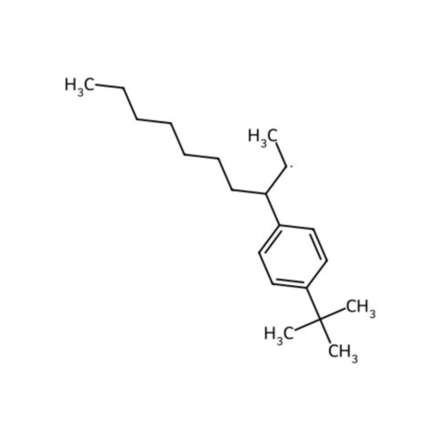 C[CH]C(CCCCCCC)c1ccc(C(C)(C)C)cc1